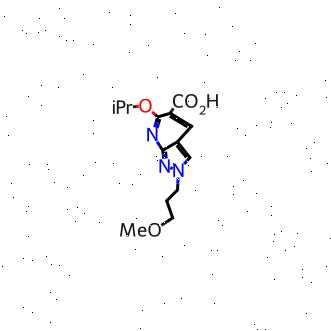 COCCCn1cc2cc(C(=O)O)c(OC(C)C)nc2n1